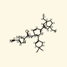 CC1(C)CC=C(c2nc(C3=CC4(CF)CCC(CF)(C3)O4)ccc2NC(=O)c2ncc(C#N)[nH]2)CC1